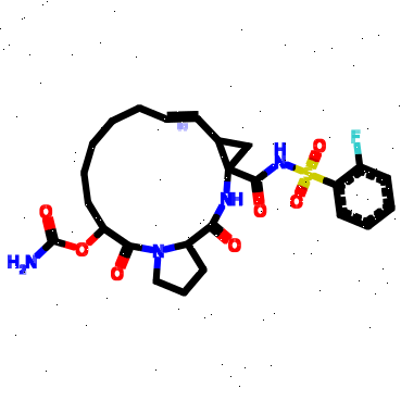 NC(=O)OC1CCCCC/C=C/C2CC2(C(=O)NS(=O)(=O)c2ccccc2F)NC(=O)C2CCCN2C1=O